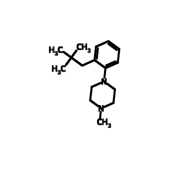 CN1CCN(c2ccccc2CC(C)(C)C)CC1